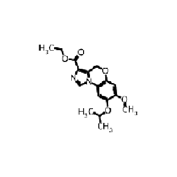 CCOC(=O)c1ncn2c1COc1cc(OC)c(OC(C)C)cc1-2